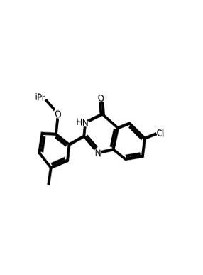 Cc1ccc(OC(C)C)c(-c2nc3ccc(Cl)cc3c(=O)[nH]2)c1